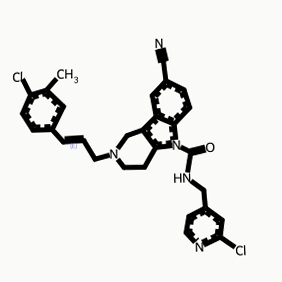 Cc1cc(/C=C/CN2CCc3c(c4cc(C#N)ccc4n3C(=O)NCc3ccnc(Cl)c3)C2)ccc1Cl